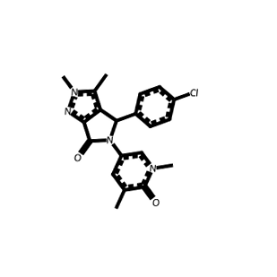 Cc1cc(N2C(=O)c3nn(C)c(C)c3C2c2ccc(Cl)cc2)cn(C)c1=O